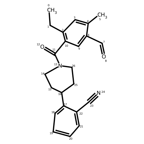 CCc1cc(C)c(C=O)cc1C(=O)N1CCC(c2ccccc2C#N)CC1